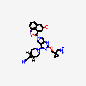 CN(C)CC1(COc2nc3c(c(N4CC[C@@H]5C(C#N)[C@@H]5CC4)n2)CN(C(=O)c2cc(O)cc4cccc(I)c24)C3)CC1